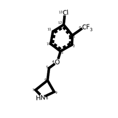 FC(F)(F)c1cc(OCC2CNC2)ccc1Cl